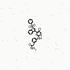 NC(=O)Cc1cccc(Nc2ncc(Cl)c(-c3cn(S(=O)(=O)c4ccccc4)c4ccccc34)n2)c1